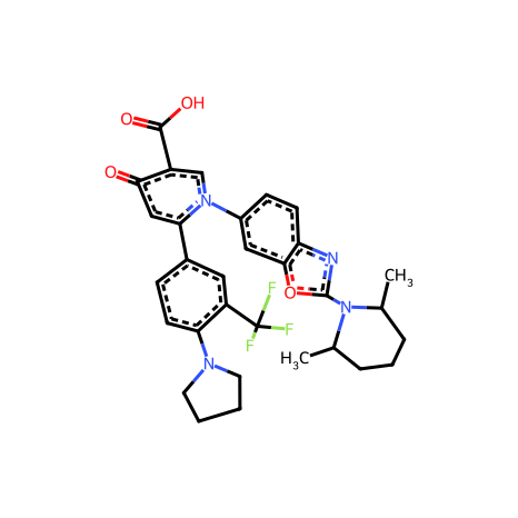 CC1CCCC(C)N1c1nc2ccc(-n3cc(C(=O)O)c(=O)cc3-c3ccc(N4CCCC4)c(C(F)(F)F)c3)cc2o1